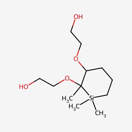 CC1(OCCO)C(OCCO)CCC[Si]1(C)C